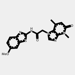 COc1ccc2nc(NC(=O)Cn3cnc4c3c(C)cc(=O)n4C)sc2c1